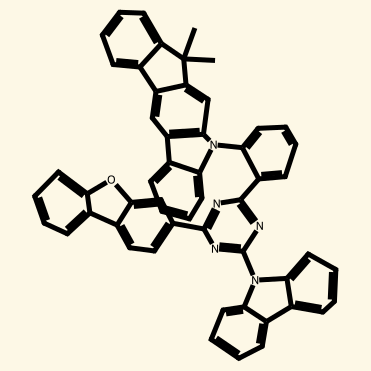 CC1(C)c2ccccc2-c2cc3c4ccccc4n(-c4ccccc4-c4nc(-c5ccc6c(c5)oc5ccccc56)nc(-n5c6ccccc6c6ccccc65)n4)c3cc21